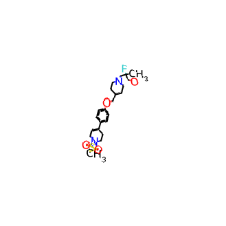 CC(F)(C=O)CN1CCC(COc2ccc(C3=CCN(S(C)(=O)=O)CC3)cc2)CC1